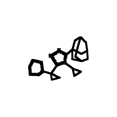 c1ccc(C2(c3nnc(C45CC6CC(CC(C6)C4)C5)n3C3CC3)CC2)cc1